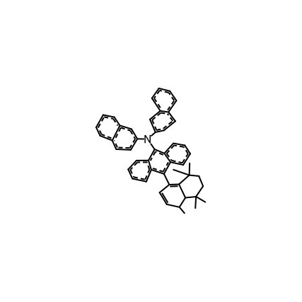 CC1C=CC(c2c3ccccc3c(N(c3ccc4ccccc4c3)c3ccc4ccccc4c3)c3ccccc23)=C2C1C(C)(C)CCC2(C)C